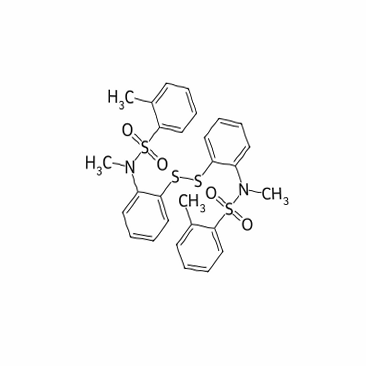 Cc1ccccc1S(=O)(=O)N(C)c1ccccc1SSc1ccccc1N(C)S(=O)(=O)c1ccccc1C